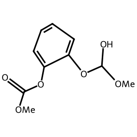 COC(=O)Oc1ccccc1OC(O)OC